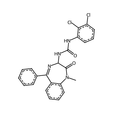 CN1C(=O)C(NC(=O)Nc2cccc(Cl)c2Cl)N=C(c2ccccc2)c2ccccc21